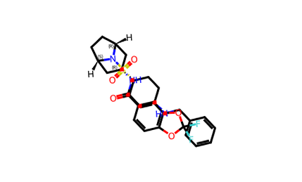 O=C(N[C@H]1C[C@H]2CC[C@@H](C1)N2S(=O)(=O)[C@H]1CC[C@H](NCc2ccccc2)CC1)c1ccc2c(c1)OC(F)(F)O2